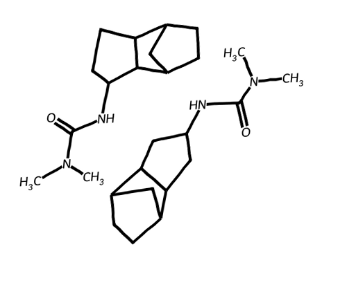 CN(C)C(=O)NC1CC2C3CCC(C3)C2C1.CN(C)C(=O)NC1CCC2C3CCC(C3)C12